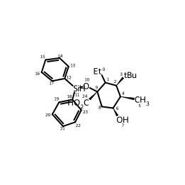 CCC1[C@@H](C(C)(C)C)[C@@H](C)[C@@H](O)C[C@@]1(O[SiH](c1ccccc1)c1ccccc1)C(=O)O